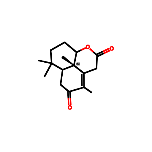 CC1=C2CC(=O)OC3CCC(C)(C)C(CC1=O)[C@@]23C